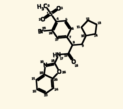 CS(=O)(=O)c1ccc(C(CC2CCCC2)C(=O)Nc2nc3ccccc3o2)cc1Br